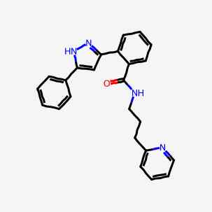 O=C(NCCCc1ccccn1)c1ccccc1-c1cc(-c2ccccc2)[nH]n1